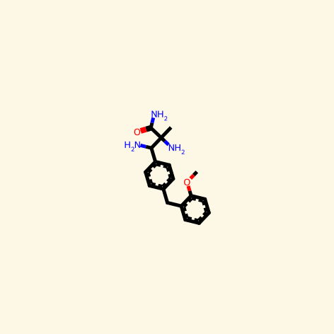 COc1ccccc1Cc1ccc(C(N)C(C)(N)C(N)=O)cc1